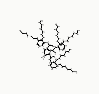 CCCCCCCc1cccc(CC(C)c2ccc(O)c(C(C)Cc3cccc(CCCCCCC)c3CCCCCCC)c2C(C)Cc2cccc(CCCCCCC)c2CCCCCCC)c1CCCCCCC